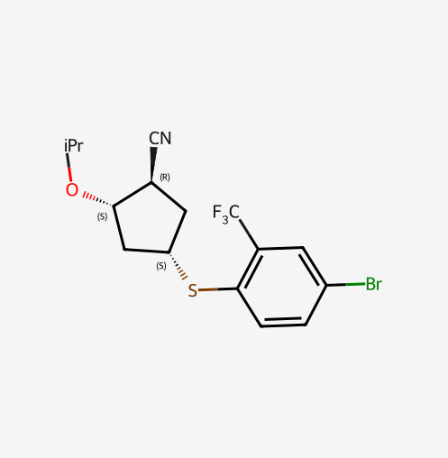 CC(C)O[C@H]1C[C@@H](Sc2ccc(Br)cc2C(F)(F)F)C[C@@H]1C#N